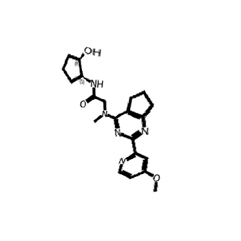 COc1ccnc(-c2nc3c(c(N(C)CC(=O)N[C@H]4CCC[C@H]4O)n2)CCC3)c1